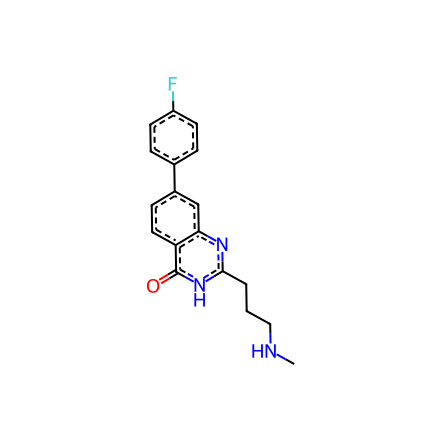 CNCCCc1nc2cc(-c3ccc(F)cc3)ccc2c(=O)[nH]1